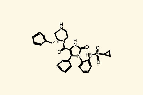 O=C(c1[nH]c(=O)n(-c2ccccc2NS(=O)(=O)C2CC2)c1-c1ccccc1)N1CCNC[C@H]1Cc1ccccc1